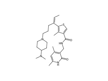 C/C=C(/CCCN1CCC(N(C)C)CC1)c1scc(C(=O)NCc2c(C)cc(C)[nH]c2=O)c1C